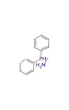 CN.c1ccc(Pc2ccccc2)cc1